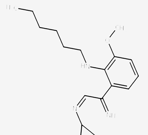 CCCCCCNc1c(OC)cccc1C(=N)/C=N\C1CC1